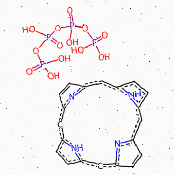 C1=Cc2cc3ccc(cc4nc(cc5ccc(cc1n2)[nH]5)C=C4)[nH]3.O=P(O)(O)OP(=O)(O)OP(=O)(O)OP(=O)(O)O